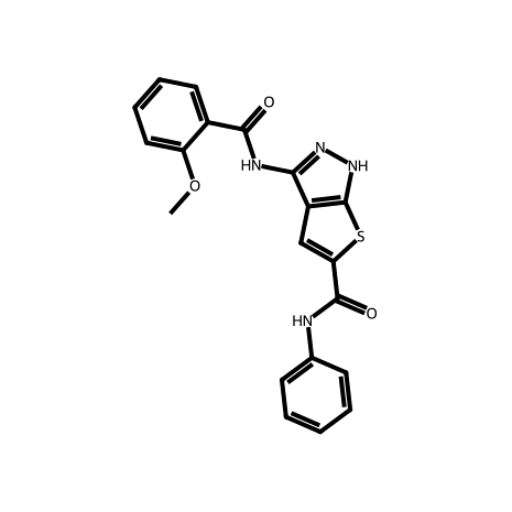 COc1ccccc1C(=O)Nc1n[nH]c2sc(C(=O)Nc3ccccc3)cc12